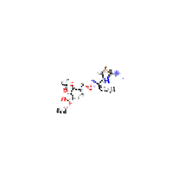 CC(C)(C)OC(=O)c1ccc(CO/N=C(\C(=O)O)c2csc(N)n2)c2c1OC(C)(C)O2